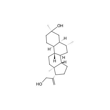 C=C(CO)[C@H]1CC[C@H]2[C@@H]3C[C@@H](C)[C@@H]4C[C@](C)(O)CC[C@@H]4[C@H]3CC[C@]12C